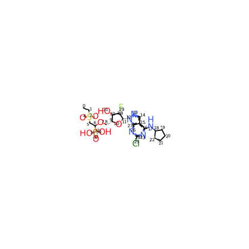 CCS(=O)(=O)CC(OC[C@H]1O[C@@H](n2ncc3c(NC4CCCC4)nc(Cl)nc32)[C@@H](F)[C@@H]1O)P(=O)(O)O